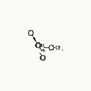 N#C/C(=N\[C@H](Cc1ccccc1)c1ccc(C#Cc2ccccc2)cc1)c1ccc(C(F)(F)F)cc1